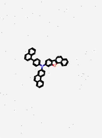 c1ccc2c(-c3ccc(N(c4ccc5c(ccc6ccccc65)c4)c4ccc5c(c4)oc4c6ccccc6ccc54)cc3)cccc2c1